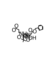 COC(=O)CCNC(=O)[C@@H]1O[PH](O)(NCC(=O)OCc2ccccc2)OCC1(C)C